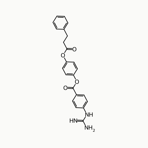 N=C(N)Nc1ccc(C(=O)Oc2ccc(OC(=O)CCc3ccccc3)cc2)cc1